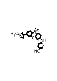 CC(=O)N(c1ccc(-c2cnn(C)c2)cc1C)[C@H]1CC[C@H](Nc2ccc(C#N)cn2)CC1